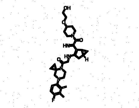 Cc1c(F)ccc(N2CCN(C(=O)CNC3=C(C(=N)C(=O)N4CCC(OCCO)CC4)C4C[C@@H]4C3)C3(CC3)C2)c1C